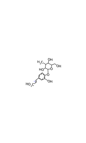 CC1C(O)C(CO)OC(Oc2ccc(/C=C/C(=O)O)cc2O)C1O